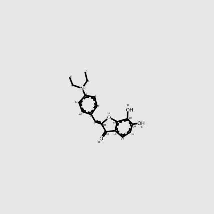 CCN(CC)c1ccc(C=C2Oc3c(ccc(O)c3O)C2=O)cc1